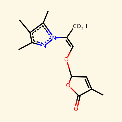 CC1=CC(O/C=C(/C(=O)O)n2nc(C)c(C)c2C)OC1=O